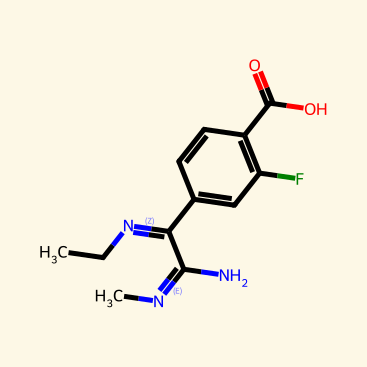 CC/N=C(\C(N)=N/C)c1ccc(C(=O)O)c(F)c1